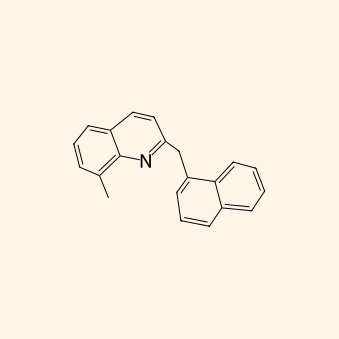 Cc1cccc2ccc(Cc3cccc4ccccc34)nc12